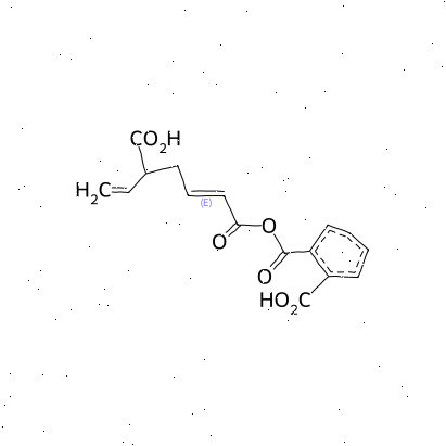 C=CC(C/C=C/C(=O)OC(=O)c1ccccc1C(=O)O)C(=O)O